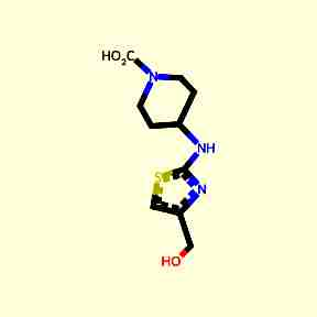 O=C(O)N1CCC(Nc2nc(CO)cs2)CC1